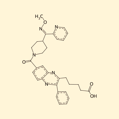 CON=C(c1ccccn1)C1CCN(C(=O)c2ccc3nc(-c4ccccc4)c(CCCCC(=O)O)nc3c2)CC1